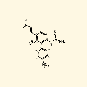 CN(C)/C=N/c1ccc(OC(N)=O)c(-c2ccc([N+](=O)[O-])cc2)c1C#N